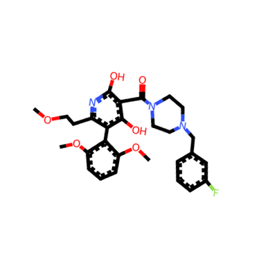 COCCc1nc(O)c(C(=O)N2CCN(Cc3cccc(F)c3)CC2)c(O)c1-c1c(OC)cccc1OC